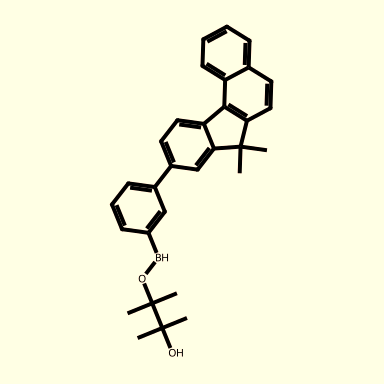 CC1(C)c2cc(-c3cccc(BOC(C)(C)C(C)(C)O)c3)ccc2-c2c1ccc1ccccc21